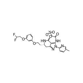 Cc1ccc(-n2nc3c(c2NC(=O)CS(C)(=O)=O)C(=O)N[C@@H](CCOc2cccc(OCC(F)F)c2)C3)nc1